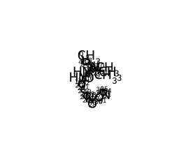 Cc1ccc(-n2nc(C(C)(C)C)cc2NC(=O)Nc2ccc(CC3CCN(C(=O)c4ccc5ncccc5c4)CC3)cc2)cc1